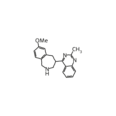 COc1ccc2c(c1)CC(c1nc(C)nc3ccccc13)CNC2